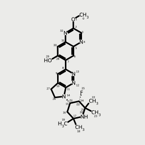 COc1cnc2cc(-c3cc4c(nn3)N([C@H]3CC(C)(C)NC(C)(C)[C@H]3F)CC4)c(O)cc2n1